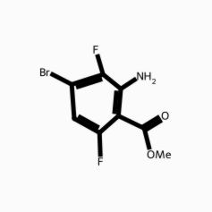 COC(=O)c1c(F)cc(Br)c(F)c1N